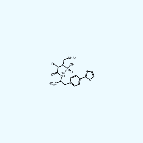 CC(=O)NCN(C(C(=O)NC(Cc1ccc(-c2nccs2)cc1)C(=O)O)C(C)C)P(=O)(O)O